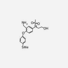 CSc1ccc(Oc2ccc(N(CCO)S(C)(=O)=O)cc2CN)cc1